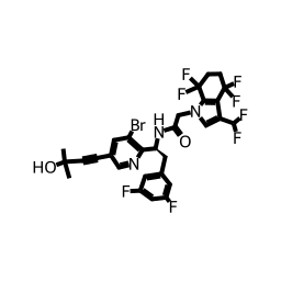 CC(C)(O)C#Cc1cnc([C@H](Cc2cc(F)cc(F)c2)NC(=O)Cn2cc(C(F)F)c3c2C(F)(F)CCC3(F)F)c(Br)c1